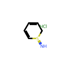 Cl.N=S1C=CC=CC1